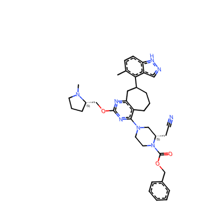 Cc1ccc2[nH]ncc2c1C1CCCc2c(nc(OC[C@@H]3CCCN3C)nc2N2CCN(C(=O)OCc3ccccc3)[C@@H](CC#N)C2)C1